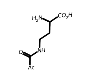 CC(=O)C(=O)NCCC(N)C(=O)O